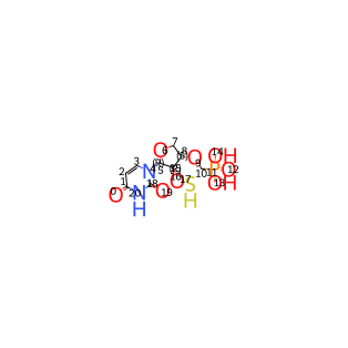 O=c1ccn([C@@H]2OC[C@H](OCP(=O)(O)O)[C@H]2OS)c(=O)[nH]1